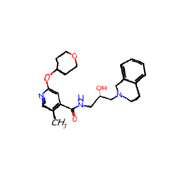 Cc1cnc(OC2CCOCC2)cc1C(=O)NC[C@H](O)CN1CCc2ccccc2C1